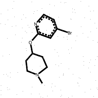 CN1CCC(Oc2cc(Br)ccn2)CC1